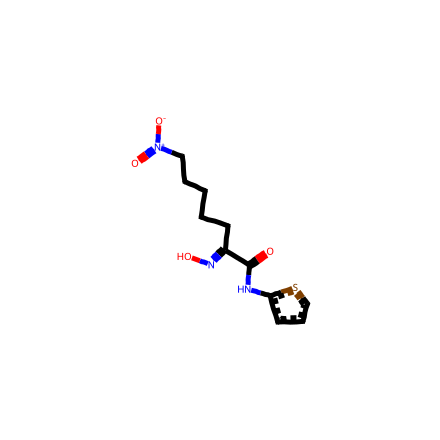 O=C(Nc1cccs1)C(CCCCC[N+](=O)[O-])=NO